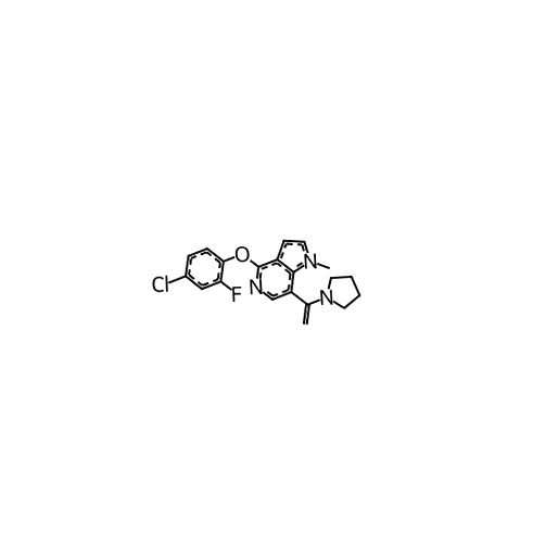 C=C(c1cnc(Oc2ccc(Cl)cc2F)c2ccn(C)c12)N1CCCC1